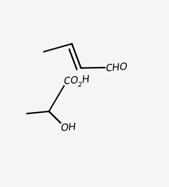 CC(O)C(=O)O.CC=CC=O